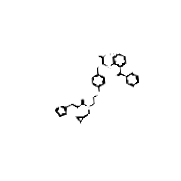 COC(=O)[C@H](Cc1ccc(OCCN(CC2CC2)C(=O)/C=C/c2cccs2)cc1)Nc1ccccc1C(=O)c1ccccc1